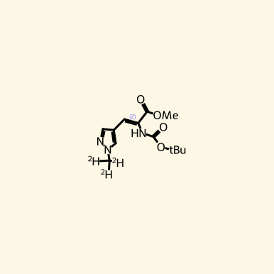 [2H]C([2H])([2H])n1cc(/C=C(\NC(=O)OC(C)(C)C)C(=O)OC)cn1